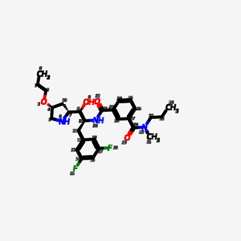 CCCO[C@H]1CN[C@@H]([C@@H](O)[C@H](Cc2cc(F)cc(F)c2)NC(=O)c2cccc(C(=O)N(C)CCC)c2)C1